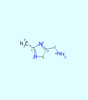 CC1=NCC(CN)=N1